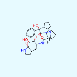 O=C1NCC[C@@H]1C[C@H](NC(=O)[C@H]1C2CCC(CC2)N1C(=O)[C@](O)(c1ccccc1)C1CCCC1)C(=O)CO